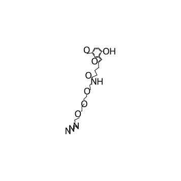 [N-]=[N+]=NCCOCCOCCOCCNC(=O)CCCc1cc2c(O)ccc(C=O)c2o1